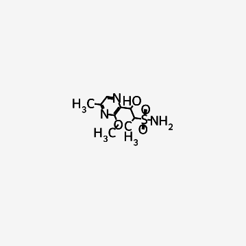 COc1nc(C)cnc1C(O)C(C)S(N)(=O)=O